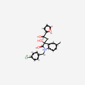 Cc1ccc2c(c1)C(O)(CC(=O)c1ccco1)C(=O)N2Cc1ccc(Cl)cc1